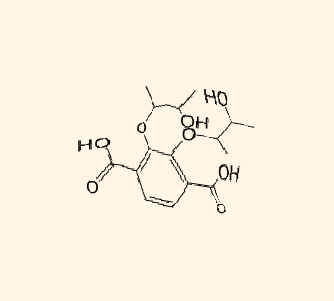 CC(O)C(C)Oc1c(C(=O)O)ccc(C(=O)O)c1OC(C)C(C)O